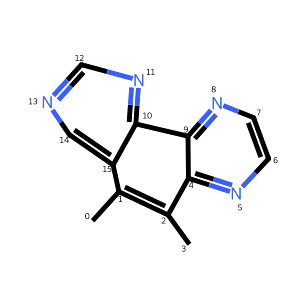 Cc1c(C)c2nccnc2c2ncncc12